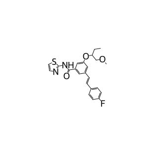 CCC(COC)Oc1cc(/C=C/c2ccc(F)cc2)cc(C(=O)Nc2nccs2)c1